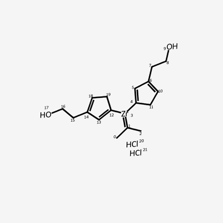 C[C](C)=[Zr]([C]1=CC(CCO)=CC1)[C]1=CC(CCO)=CC1.Cl.Cl